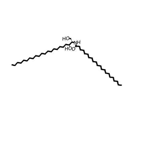 CCCCCCCCCCCCCCCCCCCCCC(=O)N[C@@H](CO)[C@H](O)CCCCCCCCCCCCCCCCCCC